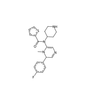 CN1C(N(C(=O)c2cccs2)C2CCNCC2)=CN=CC1c1ccc(F)cc1